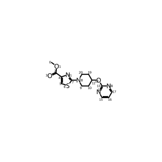 COC(=O)c1csc(N2CCC(Oc3ncccn3)CC2)n1